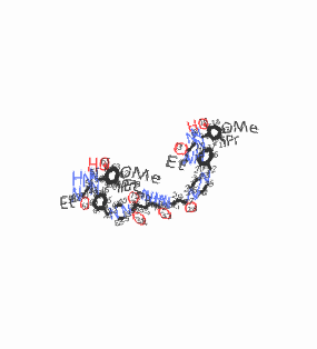 CCNC(=O)c1nnc(-c2cc(C(C)C)c(OC)cc2O)n1-c1ccc(CN2CCN(C(=O)CCNC(=O)[C@@H](CCC(=O)N3CCN(Cc4ccc(-n5c(C(=O)NCC)nnc5-c5cc(C(C)C)c(OC)cc5O)cc4)CC3)NC(=O)CC)CC2)cc1